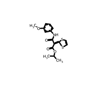 COc1cccc(NC(=O)C(C(=O)OC(C)C)=C2SC=CS2)c1